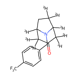 [2H]C1([2H])CC2([2H])N(Cc3ccc(C(F)(F)F)cc3)C1([2H])C([2H])([2H])C(=O)C2([2H])[2H]